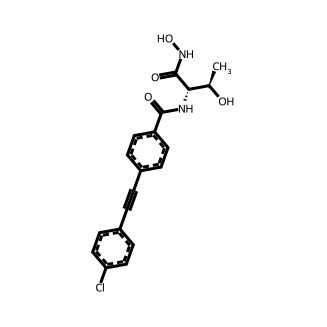 C[C@@H](O)[C@H](NC(=O)c1ccc(C#Cc2ccc(Cl)cc2)cc1)C(=O)NO